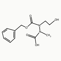 CN(C(=O)O)N(CCO)C(=O)OCc1ccccc1